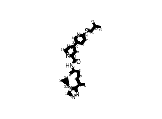 C=C(/C=C\C=C(/C)c1nncn1C1CC1)NC(=O)c1cc(-c2ccc(SCC(C)C)nc2)ccn1